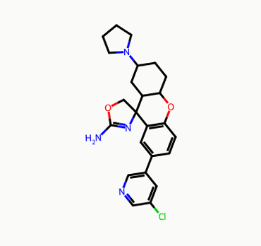 NC1=NC2(CO1)c1cc(-c3cncc(Cl)c3)ccc1OC1CCC(N3CCCC3)CC12